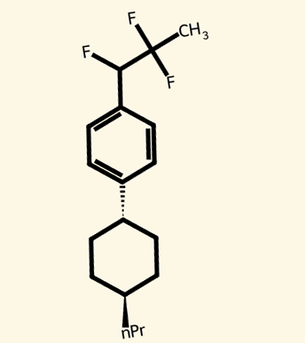 CCC[C@H]1CC[C@H](c2ccc(C(F)C(C)(F)F)cc2)CC1